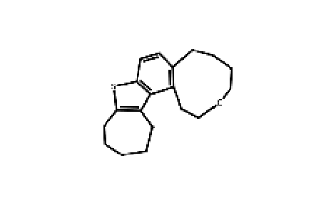 c1cc2sc3c(c2c2c1CCCCCCC2)CCCCC3